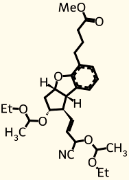 CCOC(C)OC(C#N)/C=C/[C@@H]1[C@H]2c3cccc(CCCC(=O)OC)c3O[C@H]2C[C@H]1OC(C)OCC